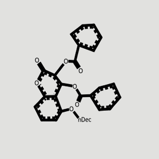 CCCCCCCCCCOc1cccc2oc(=O)c(OC(=O)c3ccccc3)c(OC(=O)c3ccccc3)c12